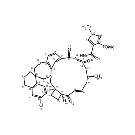 COc1nn(C)cc1C(=O)N[S@@]1(=O)=NC(=O)c2ccc3c(c2)N(C[C@@H]2CC[C@H]2C(=O)/C=C/C[C@H](C)C1)C[C@@]1(CCCc2cc(Cl)ccc21)CO3